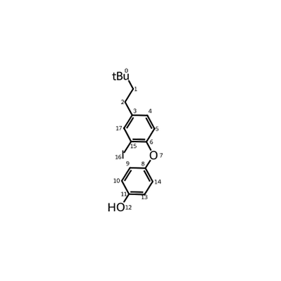 CC(C)(C)CCc1ccc(Oc2ccc(O)cc2)c(I)c1